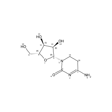 NC1=NC(=O)N([C@@H]2O[C@H](CO)[C@@H](O)[C@H]2O)CC1